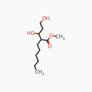 CCCCCCC(C(=O)OC)C(O)CCO